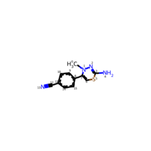 CN1N=C(N)SC=C1c1ccc(C#N)cc1